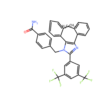 Cc1ccccc1-c1nc(-c2cc(C(F)(F)F)cc(C(F)(F)F)c2)n(Cc2ccc(C(N)=O)cc2)c1-c1ccccc1C